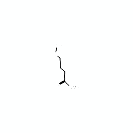 CNC(=O)CCCO[N+](=O)[O-]